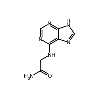 NC(=O)CNc1ncnc2[nH]cnc12